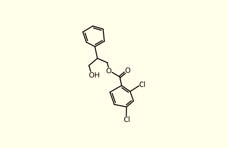 O=C(OCC(CO)c1ccccc1)c1ccc(Cl)cc1Cl